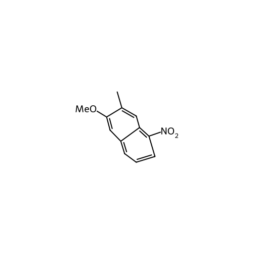 COc1cc2cccc([N+](=O)[O-])c2cc1C